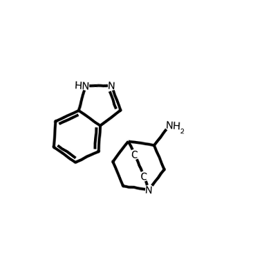 NC1CN2CCC1CC2.c1ccc2[nH]ncc2c1